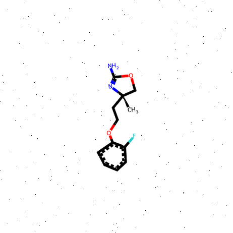 C[C@]1(CCOc2ccccc2F)COC(N)=N1